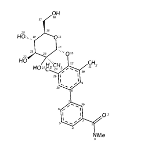 CNC(=O)c1cccc(-c2cc(C)c(O[C@H]3O[C@H](CO)[C@@H](O)[C@H](O)[C@]3(C)O)c(C)c2)c1